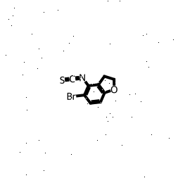 S=C=Nc1c(Br)ccc2c1CCO2